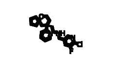 Fc1cc(CNCC[C@]2(c3ccccn3)CCOC3(CCCC3)C2)cnc1Cl